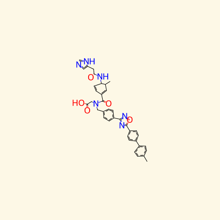 Cc1ccc(-c2ccc(-c3nc(-c4ccc(CN(CC(=O)O)C(=O)C5=CC(C)C(NC(=O)Cc6cnc[nH]6)C=C5)cc4)no3)cc2)cc1